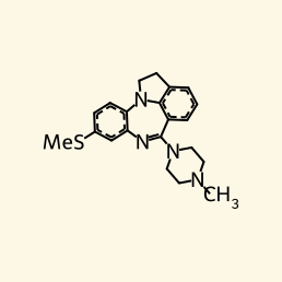 CSc1ccc2c(c1)N=C(N1CCN(C)CC1)c1cccc3c1N2CC3